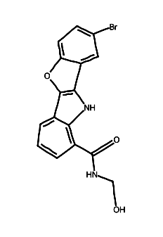 O=C(NCO)c1cccc2c1[nH]c1c3cc(Br)ccc3oc21